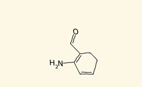 NC1=C(C=O)CCC=C1